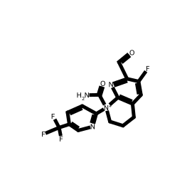 NC(=O)[N+]1(c2ccc(C(F)(F)F)cn2)CCCc2cc(F)c(C=O)nc21